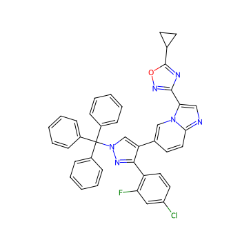 Fc1cc(Cl)ccc1-c1nn(C(c2ccccc2)(c2ccccc2)c2ccccc2)cc1-c1ccc2ncc(-c3noc(C4CC4)n3)n2c1